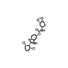 O=C(Nc1ccc2c(c1)OCO2)Oc1ccc2nc(-c3c(Cl)cccc3Cl)[nH]c2c1